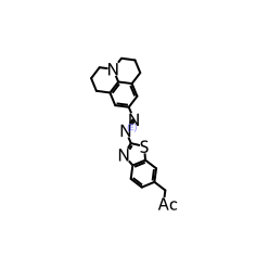 CC(=O)Cc1ccc2nc(/N=N/c3cc4c5c(c3)CCCN5CCC4)sc2c1